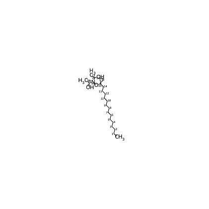 CCCCCCCCCCCCCCCC(=O)ON(C(C)O)C(C)O